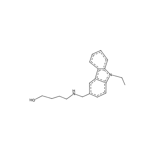 CCn1c2ccccc2c2cc(CNCCCCO)ccc21